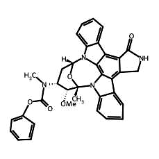 CO[C@@H]1[C@H](N(C)C(=O)Oc2ccccc2)C[C@H]2O[C@]1(C)n1c3ccccc3c3c4c(c5c6ccccc6n2c5c31)C(=O)NC4